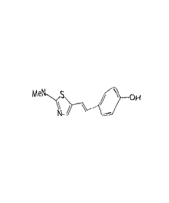 CNc1ncc(C=Cc2ccc(O)cc2)s1